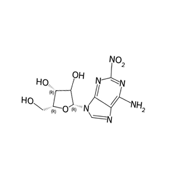 Nc1nc([N+](=O)[O-])nc2c1ncn2[C@@H]1O[C@H](CO)[C@H](O)C1O